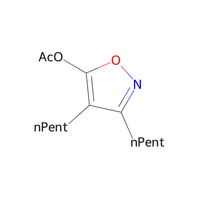 CCCCCc1noc(OC(C)=O)c1CCCCC